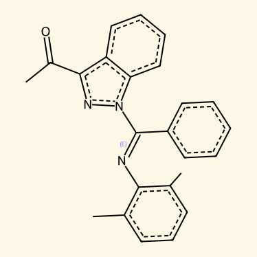 CC(=O)c1nn(/C(=N/c2c(C)cccc2C)c2ccccc2)c2ccccc12